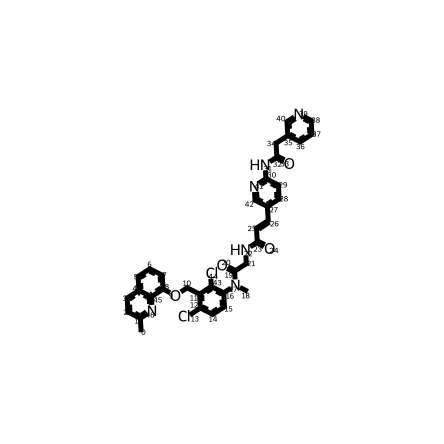 Cc1ccc2cccc(OCc3c(Cl)ccc(N(C)C(=O)CNC(=O)C=Cc4ccc(NC(=O)Cc5cccnc5)nc4)c3Cl)c2n1